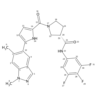 Cc1cc2c(cnn2C)cc1-c1ccc(C(=O)N2CC[C@H](C(=O)Nc3cc(F)c(F)c(F)c3)C2)[nH]1